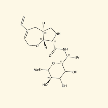 C=CC1=CCO[C@@H]2[C@H](CN[C@@H]2C(=O)N[C@H](C(C)C)[C@H]2OC(SC)[C@H](O)C(O)C2O)C1